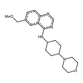 COCc1ccc2ncnc(NC3CCC(N4CCOCC4)CC3)c2c1